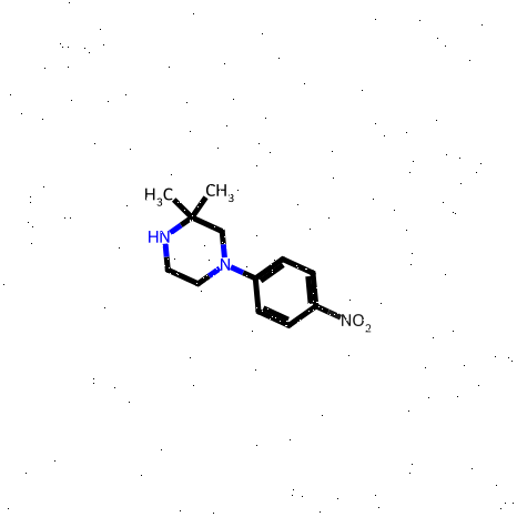 CC1(C)CN(c2ccc([N+](=O)[O-])cc2)CCN1